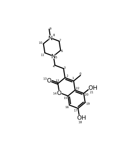 Cc1c(CCN2CCN(C)CC2)c(=O)oc2cc(O)cc(O)c12